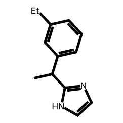 CCc1cccc(C(C)c2ncc[nH]2)c1